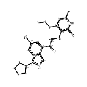 CCCc1cc(C)[nH]c(=O)c1CNC(=O)c1cc(Br)cc2c1cnn2C1CCCC1